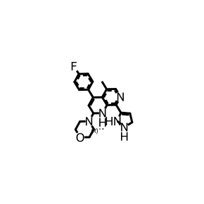 Cc1cnc(C2=CCNN2)c2c1C(c1ccc(F)cc1)=CC(N1CCOC[C@H]1C)N2